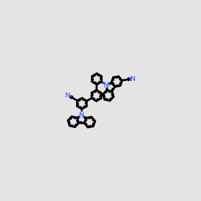 N#Cc1cc(-c2cccc(-c3ccccc3-n3c4ccccc4c4cc(C#N)ccc43)c2)cc(-n2c3ccccc3c3ccccc32)c1